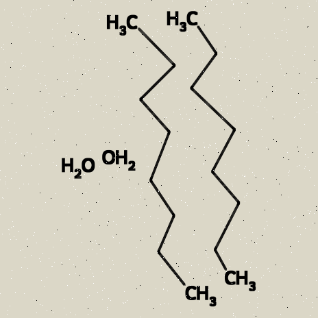 CCCCCCCC.CCCCCCCC.O.O